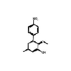 CN=C1C(C#N)=CC(C)CN1c1ccc([N+](=O)[O-])cc1